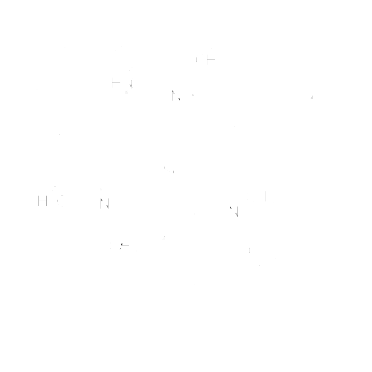 CN(C)[CH](c1ccccc1)[Sc]([CH](c1ccccc1)N(C)C)[CH](c1ccccc1)N(C)C